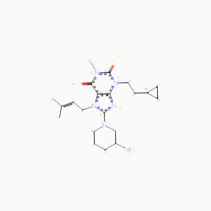 CC(C)=CCn1c(N2CCCC(N)C2)nc2c1c(=O)n(C)c(=O)n2CCC1CC1